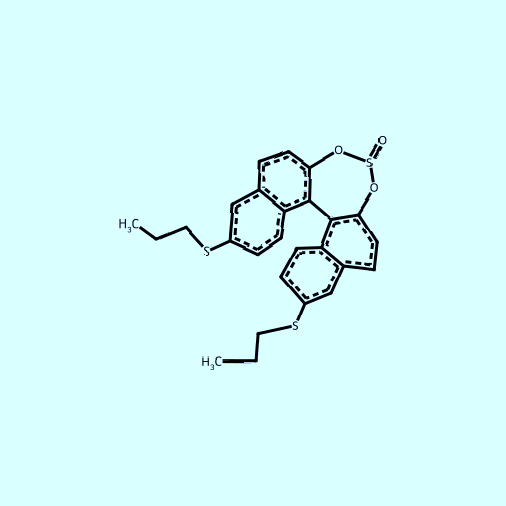 CCCSc1ccc2c3c(ccc2c1)OS(=O)Oc1ccc2cc(SCCC)ccc2c1-3